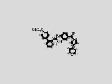 CCOC(=O)N1CC=C(c2ccc[nH]/c2=N\C(=N)Nc2ccc(C(=O)N3CCC(N4CCOCC4)C3)cc2)CC1